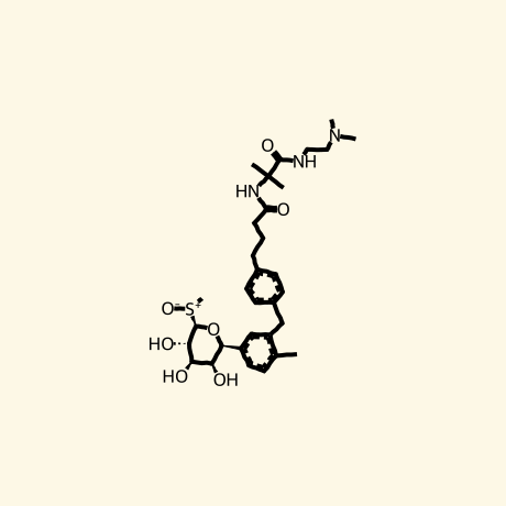 Cc1ccc([C@@H]2O[C@H]([S+](C)[O-])[C@@H](O)[C@H](O)[C@@H]2O)cc1Cc1ccc(CCCC(=O)NC(C)(C)C(=O)NCCN(C)C)cc1